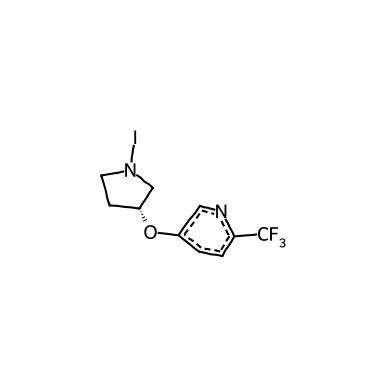 FC(F)(F)c1ccc(O[C@@H]2CCN(I)C2)cn1